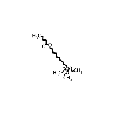 CCC=CC(=O)OCCCCCCCCCC[Si](OCC)(OCC)OCC